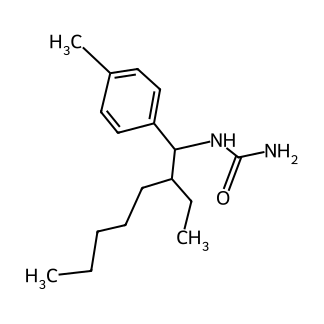 CCCCCC(CC)C(NC(N)=O)c1ccc(C)cc1